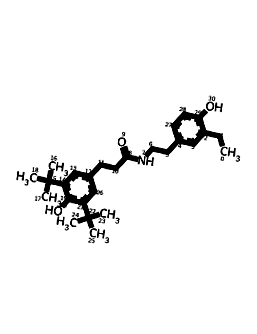 CCc1cc(CCNC(=O)CCc2cc(C(C)(C)C)c(O)c(C(C)(C)C)c2)ccc1O